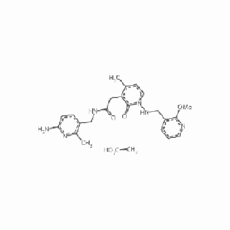 CC(=O)O.COc1ncccc1CNn1ccc(C)c(CC(=O)NCc2ccc(N)nc2C)c1=O